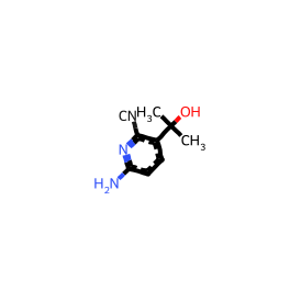 CC(C)(O)c1ccc(N)nc1C#N